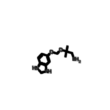 BCC(C)(C)OCOc1ccc2c(c1)NCN2